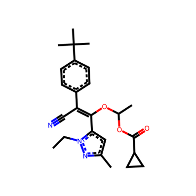 CCn1nc(C)cc1/C(OC(C)OC(=O)C1CC1)=C(\C#N)c1ccc(C(C)(C)C)cc1